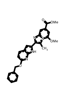 COC(=O)c1cc(OC)n2c(C)c(-c3cc4ccc(OCc5ccccc5)nc4[nH]3)nc2c1